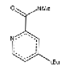 CNC(=O)c1cc(C(C)(C)C)ccn1